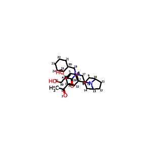 CC(=O)c1cccc(C2CC3CCC(C2)N3CCN(CC2CCCCC2)C(=O)[C@@H](O)CO)c1